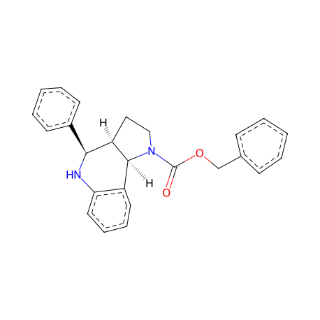 O=C(OCc1ccccc1)N1CC[C@@H]2[C@H](c3ccccc3)Nc3ccccc3[C@@H]21